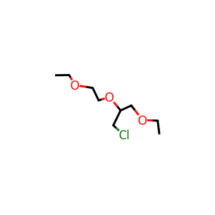 CCOCCOC(CCl)COCC